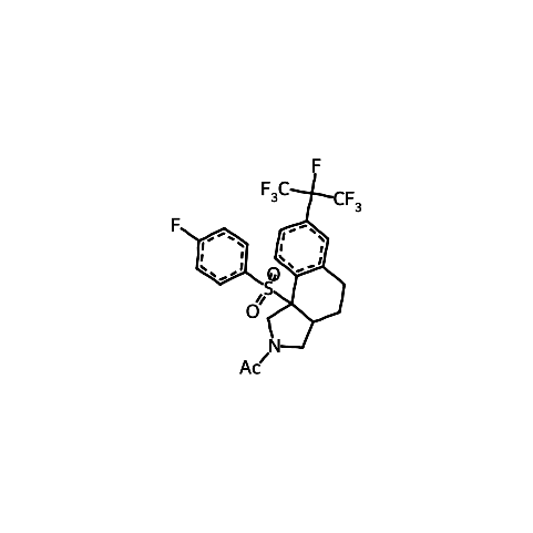 CC(=O)N1CC2CCc3cc(C(F)(C(F)(F)F)C(F)(F)F)ccc3C2(S(=O)(=O)c2ccc(F)cc2)C1